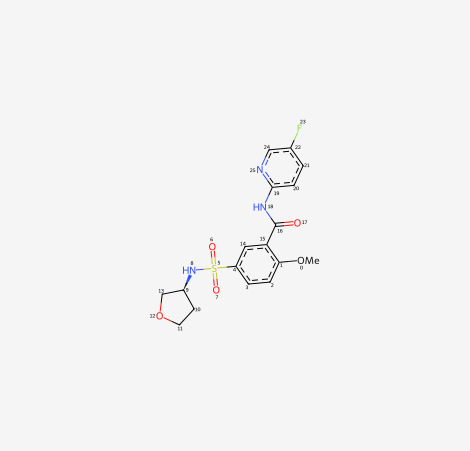 COc1ccc(S(=O)(=O)N[C@H]2CCOC2)cc1C(=O)Nc1ccc(F)cn1